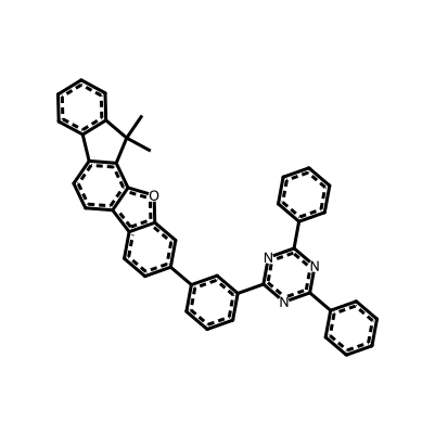 CC1(C)c2ccccc2-c2ccc3c(oc4cc(-c5cccc(-c6nc(-c7ccccc7)nc(-c7ccccc7)n6)c5)ccc43)c21